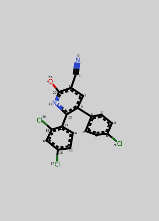 N#Cc1cc(-c2ccc(Cl)cc2)c(-c2ccc(Cl)cc2Cl)nc1[O]